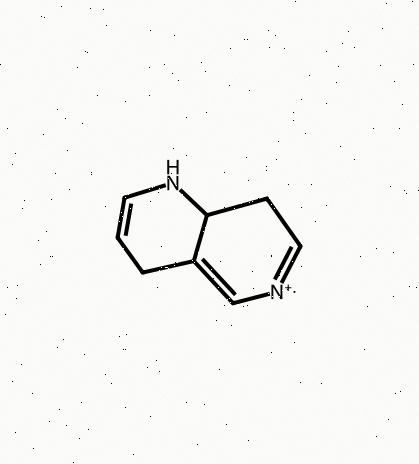 C1=CNC2CC=[N+]C=C2C1